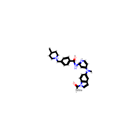 CNC(=O)n1ccc2cc(N(C)c3ccnc(NC(=O)c4ccc(CN5CCC(C)CC5)cc4)c3)ccc21